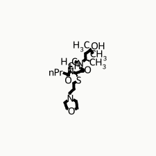 CCCC(=O)N(C)[C@H](SCCCN1CCOCC1)C(=O)N(C)[C@H](C)CC(C)(C)O